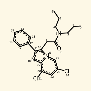 CCCN(CCC)C(=O)Cc1c(-c2cc[c]cc2)nc2c(Cl)cc(Cl)cn12